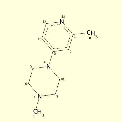 Cc1cc(N2CCN(C)CC2)ccn1